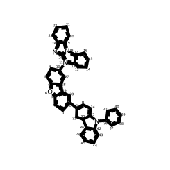 C1=C(c2ccc3oc4ccc(-n5c6ccccc6n6c7ccccc7nc56)cc4c3c2)CC2C(=C1)N(c1ccccc1)c1ccccc12